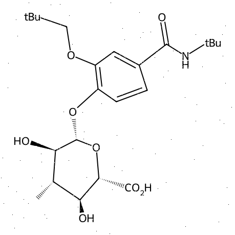 C[C@@H]1[C@@H](O)[C@H](Oc2ccc(C(=O)NC(C)(C)C)cc2OCC(C)(C)C)O[C@H](C(=O)O)[C@H]1O